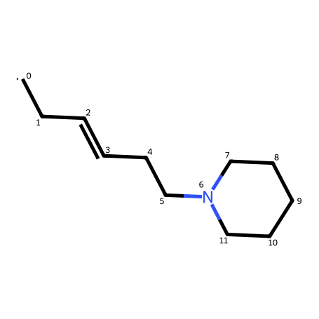 [CH2]CC=CCCN1CCCCC1